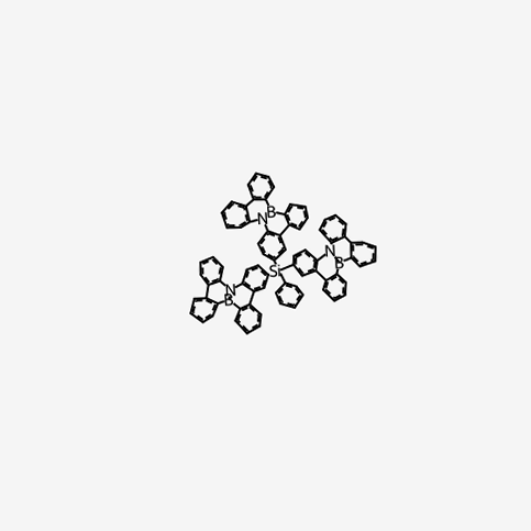 c1ccc([Si](c2ccc3c(c2)-c2ccccc2B2c4ccccc4-c4ccccc4N23)(c2ccc3c(c2)-c2ccccc2B2c4ccccc4-c4ccccc4N23)c2ccc3c(c2)-c2ccccc2B2c4ccccc4-c4ccccc4N23)cc1